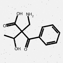 CC(O)C(CN)(C(=O)O)C(=O)c1ccccc1